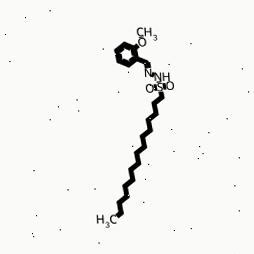 CCCCCCCCCCCCCCCCS(=O)(=O)N/N=C/c1ccccc1OC